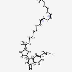 CCCCC/C=C\C/C=C\CCCCCCCC(=O)N1CCC(c2c[nH]c3ccc(OC)cc23)C1